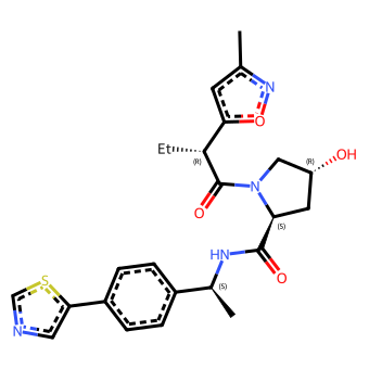 CC[C@@H](C(=O)N1C[C@H](O)C[C@H]1C(=O)N[C@@H](C)c1ccc(-c2cncs2)cc1)c1cc(C)no1